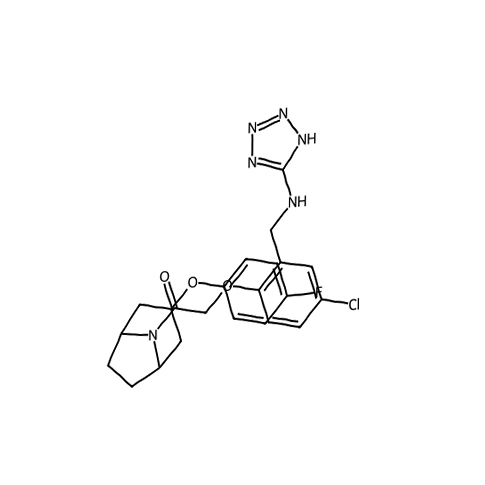 O=C(COc1ccc(Cl)cc1CNc1nnn[nH]1)N1C2CCC1CC(Oc1ccc(F)cc1)C2